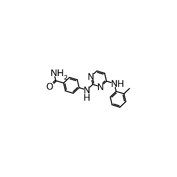 Cc1ccccc1Nc1ccnc(Nc2ccc(C(N)=O)cc2)n1